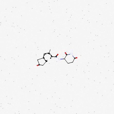 O=Cc1cc2c(cc1C(=O)NC1CCC(=O)NC1=O)CC(=O)C2